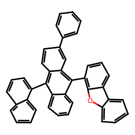 c1ccc(-c2ccc3c(-c4cccc5ccccc45)c4ccccc4c(-c4cccc5c4oc4ccccc45)c3c2)cc1